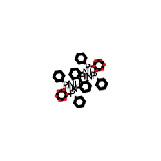 c1ccc(P(Nc2cccc(NP(c3ccccc3)c3ccccc3)c2-c2c(NP(c3ccccc3)c3ccccc3)cccc2NP(c2ccccc2)c2ccccc2)c2ccccc2)cc1